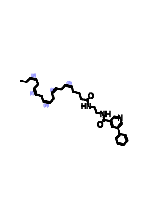 CC/C=C\C/C=C\C/C=C\C/C=C\C/C=C\CCCC(=O)NCCNC(=O)c1cncc(-c2ccccc2)c1